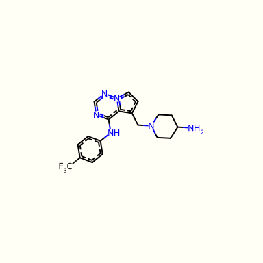 NC1CCN(Cc2ccn3ncnc(Nc4ccc(C(F)(F)F)cc4)c23)CC1